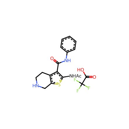 CC(=O)Nc1sc2c(c1C(=O)Nc1ccccc1)CCNC2.O=C(O)C(F)(F)F